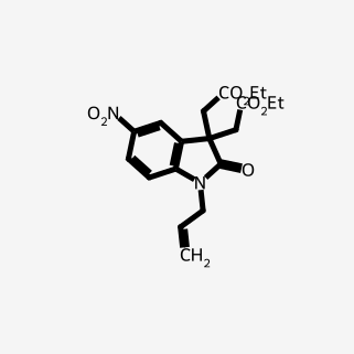 C=CCN1C(=O)C(CC(=O)OCC)(CC(=O)OCC)c2cc([N+](=O)[O-])ccc21